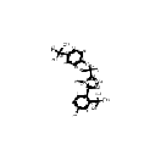 Cn1c(-c2ccc(F)cc2C(F)(F)F)nnc1C(C)(C)Oc1ccc(C(F)(F)F)cc1